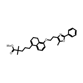 COC(=O)C(C)(C)CCCC1=CCCc2c(OCCc3nc(-c4ccccc4)oc3C)cccc21